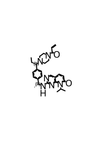 C=CC(=O)N1CCN([C@H](CC)c2ccc([C@@H](C)Nc3ncc4ccc(=O)n(C(C)C)c4n3)cc2)CC1